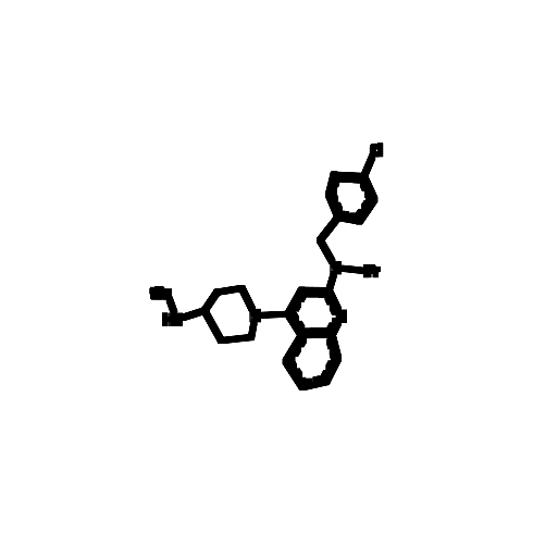 CC(C)N(Cc1ccc(Cl)cc1)c1cc(N2CCC(NC(C)(C)C)CC2)c2ccccc2n1